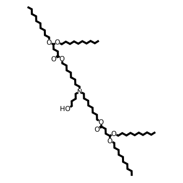 CCCCCCCCCCOC(CCC(=O)OCCCCCCCCN(CCCCO)CCCCCCCCOC(=O)CCC(OCCCCCCCCCC)OCCCCCCCCCC)OCCCCCCCCCC